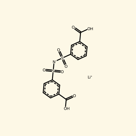 O=C(O)c1cccc(S(=O)(=O)[N-]S(=O)(=O)c2cccc(C(=O)O)c2)c1.[Li+]